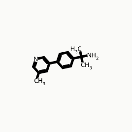 Cc1cncc(-c2ccc(C(C)(C)N)cc2)c1